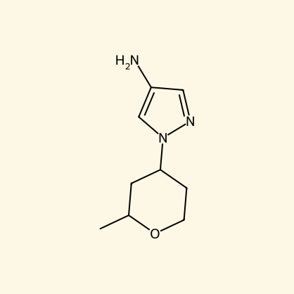 CC1CC(n2cc(N)cn2)CCO1